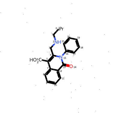 CC(C)CNCc1c(C(=O)O)c2ccccc2c(=O)n1-c1ccccc1